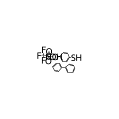 O=S(=O)(O)C(F)(F)F.Oc1ccc(S)cc1.c1ccc(-c2ccccc2)cc1